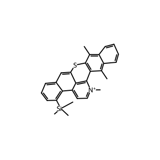 Cc1c2c(c(C)c3ccccc13)-c1c3c(cc4cccc([Si](C)(C)C)c4c3cc[n+]1C)S2